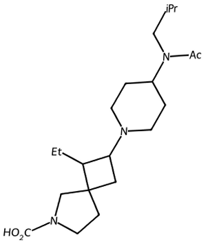 CCC1C(N2CCC(N(CC(C)C)C(C)=O)CC2)CC12CCN(C(=O)O)C2